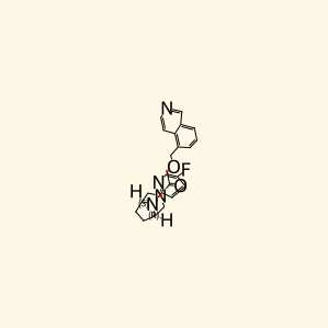 O=C(COCc1cccc2cnccc12)N1C[C@H]2CC[C@@H](C1)N2c1ccc(F)cn1